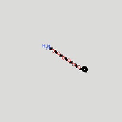 NCCOCCOCCOCCOCCOCCOCc1ccccc1